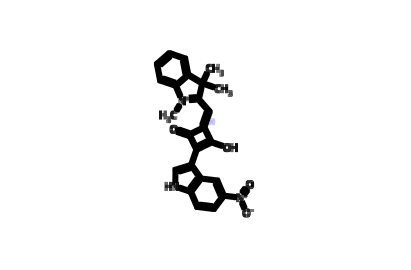 C[N+]1=C(/C=C2\C(=O)C(c3c[nH]c4ccc([N+](=O)[O-])cc34)=C2O)C(C)(C)c2ccccc21